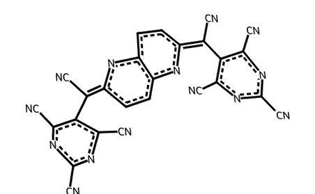 N#C/C(c1c(C#N)nc(C#N)nc1C#N)=c1/ccc2n/c(=C(/C#N)c3c(C#N)nc(C#N)nc3C#N)ccc2n1